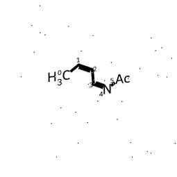 C/C=C\C=N/C(C)=O